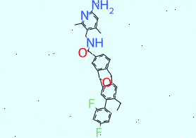 CCc1cc2c(cc1-c1ccc(F)cc1F)C1OC2c2ccc(C(=O)NCc3c(C)cc(N)nc3C)cc21